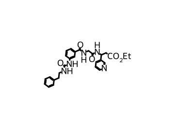 CCOC(=O)CC(NC(=O)CNC(=O)c1cccc(NC(=O)NCCc2ccccc2)c1)c1cccnc1